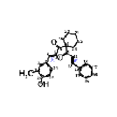 Cc1cc(/C=C/C(=O)C2(C(=O)/C=C/c3ccccc3)CCCCC2)ccc1O